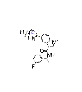 CC(NC(=O)c1cn(C)c2ccc(C(=N)/C=C\N)cc12)c1cccc(F)c1